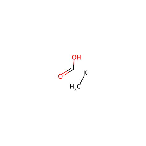 O=CO.[CH3][K]